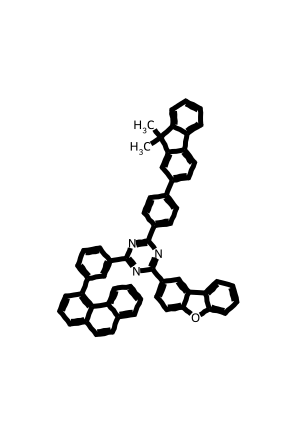 CC1(C)c2ccccc2-c2ccc(-c3ccc(-c4nc(-c5cccc(-c6cccc7ccc8ccccc8c67)c5)nc(-c5ccc6oc7ccccc7c6c5)n4)cc3)cc21